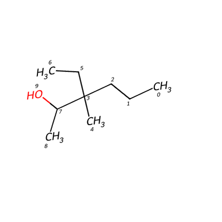 CCCC(C)(CC)C(C)O